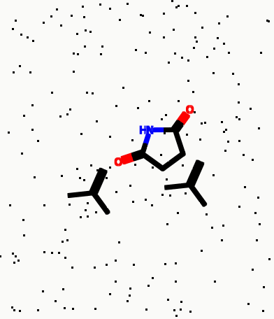 C=C(C)C.C=C(C)C.O=C1CCC(=O)N1